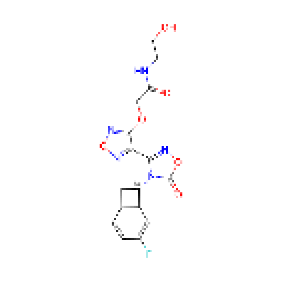 O=C(COc1nonc1-c1noc(=O)n1[C@H]1Cc2ccc(F)cc21)NCCO